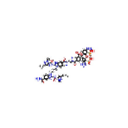 CCn1nc(C)cc1C(=O)Nc1nc2cc(C(N)=O)ccc2n1CCCCn1c(NC(=O)c2cc(C)nn2CC)nc2cc(C(=O)NCCNC(=O)c3ccc4c(c3)C(=O)OC43c4ccc(N)c(S(=O)O)c4Oc4c3ccc(N)c4S(=O)O)ccc21